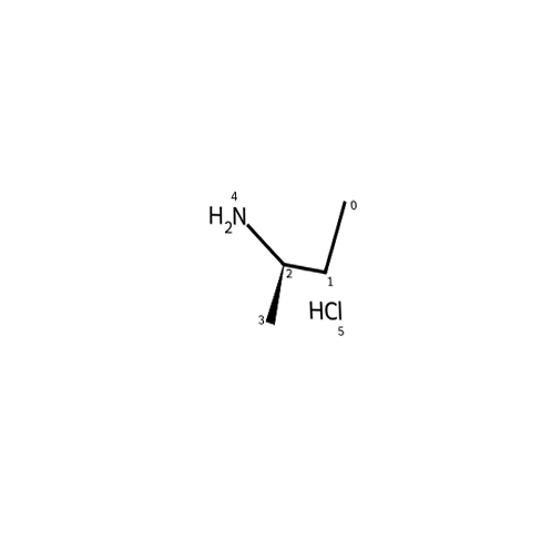 CC[C@@H](C)N.Cl